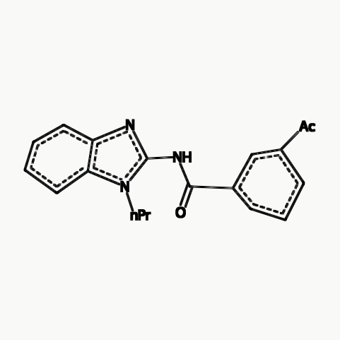 CCCn1c(NC(=O)c2cccc(C(C)=O)c2)nc2ccccc21